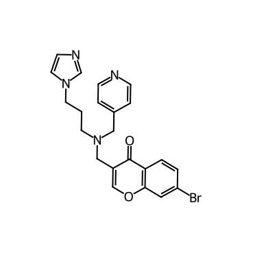 O=c1c(CN(CCCn2ccnc2)Cc2ccncc2)coc2cc(Br)ccc12